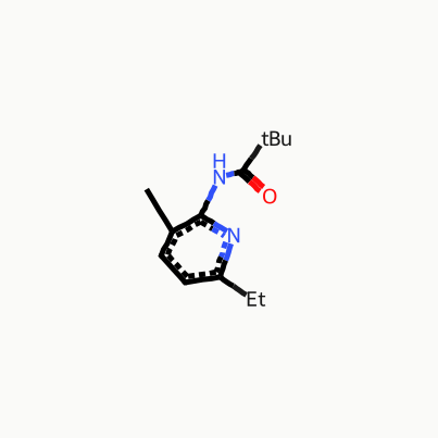 CCc1ccc(C)c(NC(=O)C(C)(C)C)n1